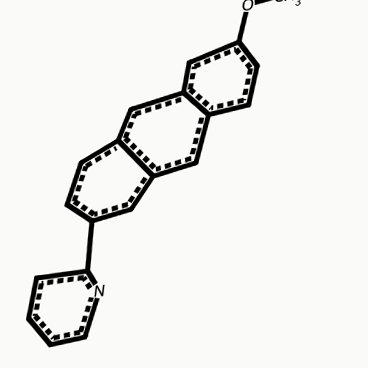 COc1ccc2cc3cc(-c4ccccn4)ccc3cc2c1